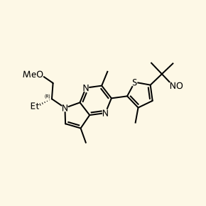 CC[C@H](COC)n1cc(C)c2nc(-c3sc(C(C)(C)N=O)cc3C)c(C)nc21